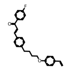 C=Cc1ccc(OCCCCc2ccc(C=CC(=O)c3ccc(F)cc3)cc2)cc1